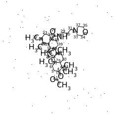 CC(=O)O[C@H]1CC[C@@]2(C)C(CC[C@]3(C)C2CC=C2C4[C@@H](C)[C@H](C)CC[C@]4(C(=O)NCCCN4CCOCC4)CC[C@]23C)C1(C)C